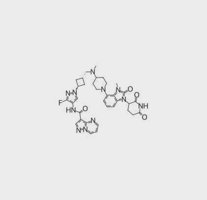 CN(C[C@H]1C[C@H](n2cc(NC(=O)c3cnn4cccnc34)c(F)n2)C1)C1CCN(c2cccc3c2n(C)c(=O)n3C2CCC(=O)NC2=O)CC1